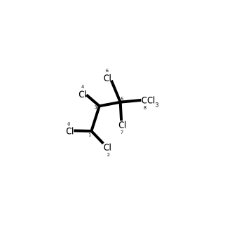 ClC(Cl)C(Cl)C(Cl)(Cl)C(Cl)(Cl)Cl